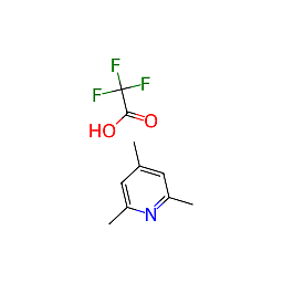 Cc1cc(C)nc(C)c1.O=C(O)C(F)(F)F